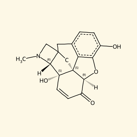 CN1CC23Cc4ccc(O)c5c4[C@@]4(C2)[C@@H](O5)C(=O)C=C[C@@]4(O)[C@H]13